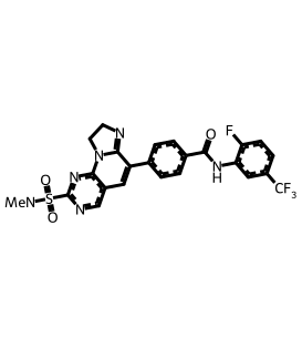 CNS(=O)(=O)c1ncc2c(n1)N1CCN=C1C(c1ccc(C(=O)Nc3cc(C(F)(F)F)ccc3F)cc1)=C2